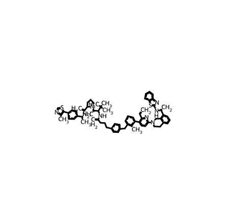 C=Cc1nc(N2CCc3cccc(C(=C)Nc4nc5ccccc5s4)c3C2)ccc1-c1cccc(Cc2ccc(CCCC(=C)NC(C(=C)N3CCCC3C(=C)NC(C)c3ccc(-c4scnc4C)cc3)C(C)(C)C)cc2)c1C